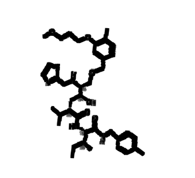 CC[C@H](C)[C@H](NC(=O)[C@@H](C[C@H](O)[C@H](COCc1ccc(C)c(OCCCOC)c1)NCc1nccs1)C(C)C)C(=O)NCc1ccc(C)cc1